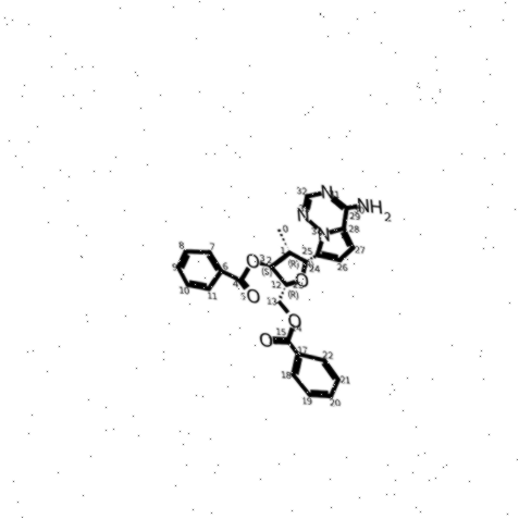 C[C@H]1[C@H](OC(=O)c2ccccc2)[C@@H](COC(=O)c2ccccc2)O[C@H]1c1ccc2c(N)ncnn12